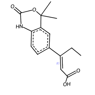 CC/C(=C\C(=O)O)c1ccc2c(c1)C(C)(C)OC(=O)N2